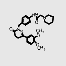 COc1ccc(C2=NN(Cc3ccc(NC(=O)CN4CCCCC4)cc3)C(=O)CC2)cc1OC